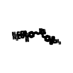 CC(C)(C)OC(=O)Nc1ccc(CCc2n[c]sc2Cc2ccc(S(C)(=O)=O)cc2)cc1